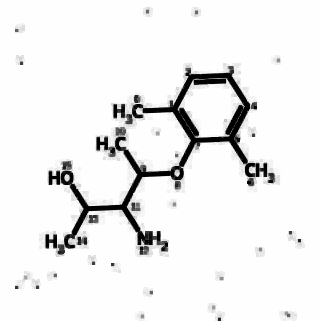 Cc1cccc(C)c1OC(C)C(N)C(C)O